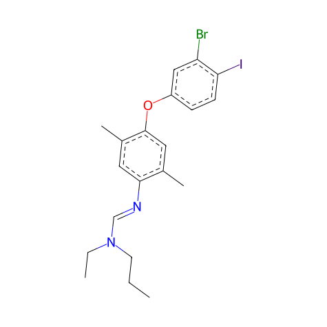 CCCN(/C=N/c1cc(C)c(Oc2ccc(I)c(Br)c2)cc1C)CC